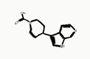 O=C(O)N1CCC(c2c[nH]c3cnccc23)CC1